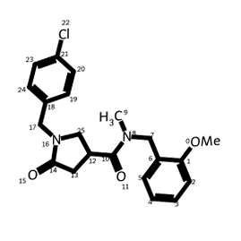 COc1ccccc1CN(C)C(=O)C1CC(=O)N(Cc2ccc(Cl)cc2)C1